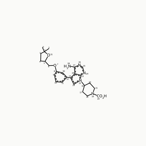 CC1(C)CCC(COc2cccc(-c3cn(C4CCN(C(=O)O)CC4)c4ncnc(N)c34)c2)O1